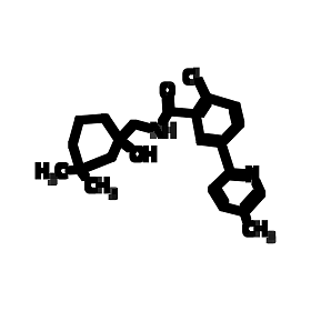 Cc1ccc(-c2ccc(Cl)c(C(=O)NCC3(O)CCCC(C)(C)C3)c2)nc1